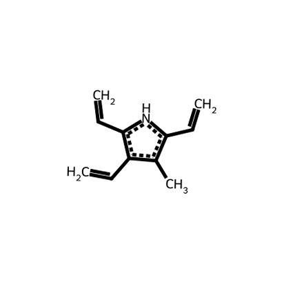 C=Cc1[nH]c(C=C)c(C=C)c1C